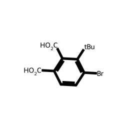 CC(C)(C)c1c(Br)ccc(C(=O)O)c1C(=O)O